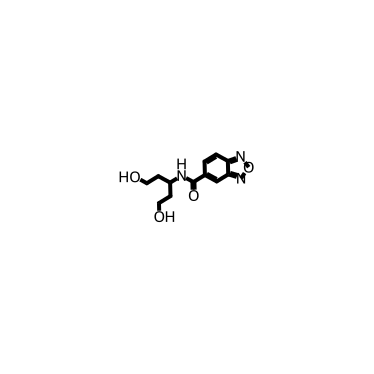 O=C(NC(CCO)CCO)c1ccc2nonc2c1